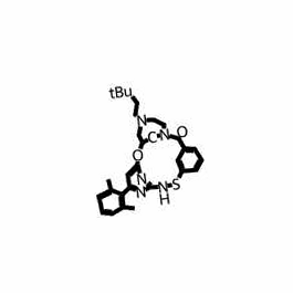 Cc1cccc(C)c1-c1cc2nc(n1)NSc1cccc(c1)C(=O)N1CCN(CCC(C)(C)C)CC(C1)O2